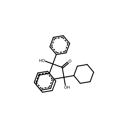 O=C(C(O)(c1ccccc1)C1CCCCC1)C(O)(c1ccccc1)C1CCCCC1